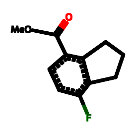 COC(=O)c1ccc(F)c2c1CCC2